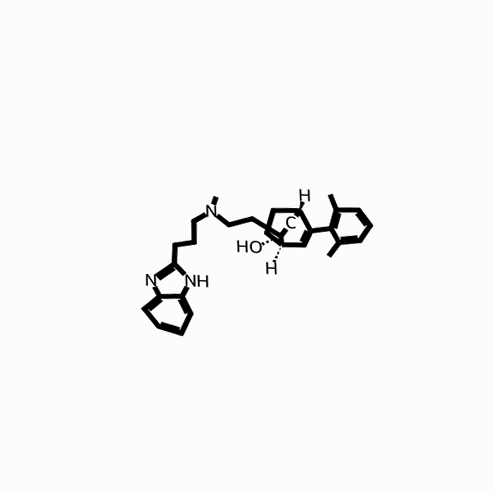 Cc1cccc(C)c1C1=C[C@H]2CC[C@H]1C[C@]2(O)CCN(C)CCCc1nc2ccccc2[nH]1